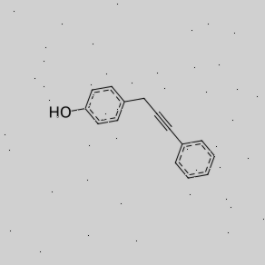 Oc1ccc(CC#Cc2ccccc2)cc1